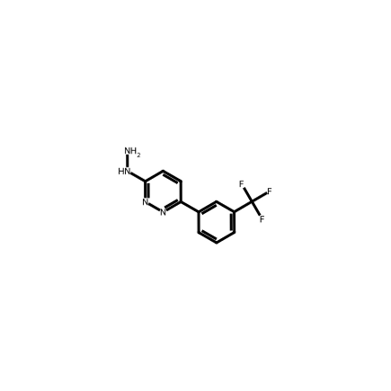 NNc1ccc(-c2cccc(C(F)(F)F)c2)nn1